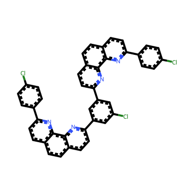 Clc1ccc(-c2ccc3ccc4ccc(-c5cc(Cl)cc(-c6ccc7ccc8ccc(-c9ccc(Cl)cc9)nc8c7n6)c5)nc4c3n2)cc1